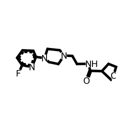 O=C(NCCN1CCN(c2cccc(F)n2)CC1)C1CCCC1